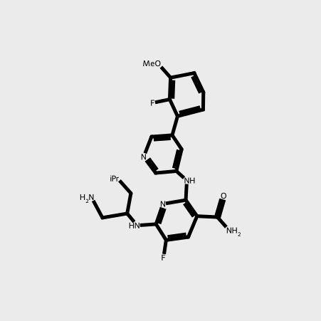 COc1cccc(-c2cncc(Nc3nc(NC(CN)CC(C)C)c(F)cc3C(N)=O)c2)c1F